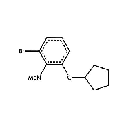 CNc1c(Br)cccc1OC1CCCC1